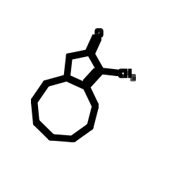 CC1=C2CCCCCCCC2CC1=O